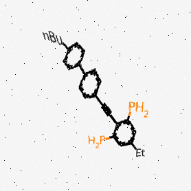 CCCCc1ccc(-c2ccc(C#Cc3c(P)cc(CC)cc3P)cc2)cc1